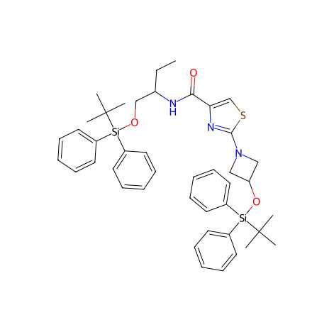 CCC(CO[Si](c1ccccc1)(c1ccccc1)C(C)(C)C)NC(=O)c1csc(N2CC(O[Si](c3ccccc3)(c3ccccc3)C(C)(C)C)C2)n1